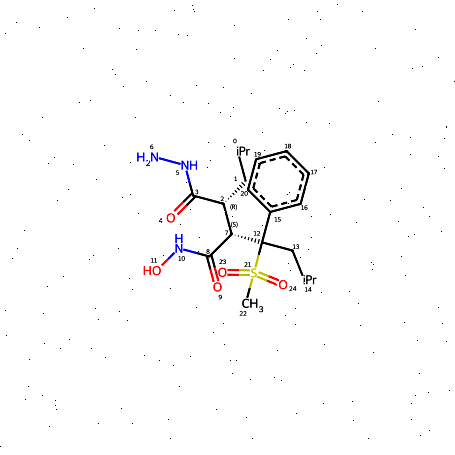 CC(C)C[C@@H](C(=O)NN)[C@@H](C(=O)NO)C(CC(C)C)(c1ccccc1)S(C)(=O)=O